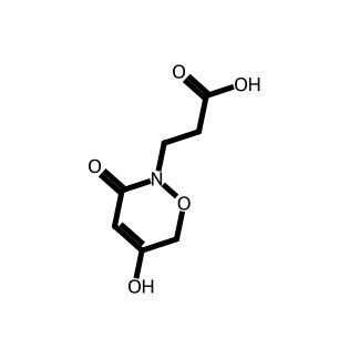 O=C(O)CCN1OCC(O)=CC1=O